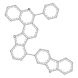 c1ccc(-c2nc3ccccc3c3c2ccc2c3oc3cccc(-c4ccc5c(c4)sc4ccccc45)c32)cc1